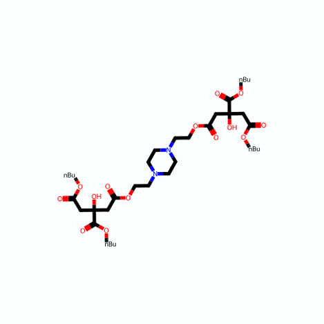 CCCCOC(=O)CC(O)(CC(=O)OCCN1CCN(CCOC(=O)CC(O)(CC(=O)OCCCC)C(=O)OCCCC)CC1)C(=O)OCCCC